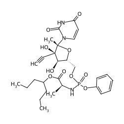 C#C[C@@]1(O)[C@H](O)[C@@H](COP(=O)(N[C@@H](C)C(=O)OC(CCC)CCC)Oc2ccccc2)O[C@@]1(C)n1ccc(=O)[nH]c1=O